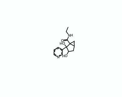 CCNC(=O)C12CC1CC(O)C2(O)c1cccnc1